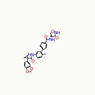 Cc1ccc(NC(=O)C2(c3ccc4c(c3)OCO4)CC2)cc1-c1ccc(C(=O)N[C@@H]2CONC2=O)cc1